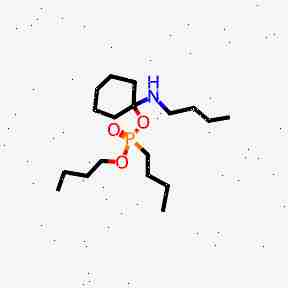 CCCCNC1(OP(=O)(CCCC)OCCCC)CCCCC1